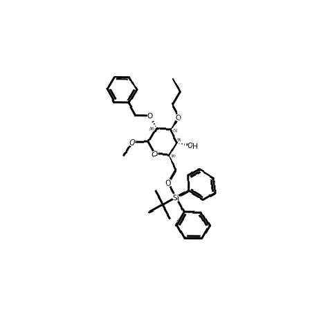 CCCO[C@H]1[C@H](O)[C@@H](CO[Si](c2ccccc2)(c2ccccc2)C(C)(C)C)OC(OC)[C@@H]1OCc1ccccc1